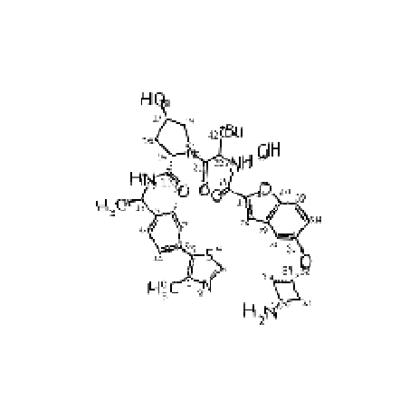 Cc1ncsc1-c1ccc(C(C)NC(=O)[C@@H]2C[C@@H](O)CN2C(=O)C(NC(=O)c2cc3cc(O[C@H]4C[C@@H](N)C4)ccc3o2)C(C)(C)C)cc1.Cl